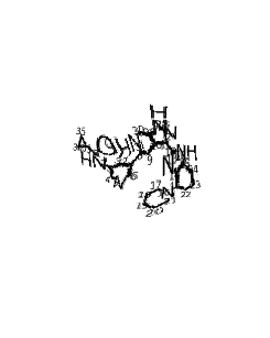 OC(Nc1cncc(-c2cc3c(-c4nc5c(N6CCCCC6)cccc5[nH]4)n[nH]c3cn2)c1)C1CC1